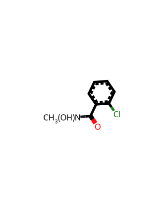 CN(O)C(=O)c1ccccc1Cl